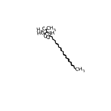 CCC=CCC=CCC=CCC=CCC=CCCCC(=O)NC(C(=O)O)C(C)C